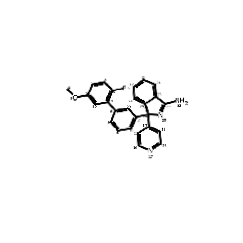 COc1ccc(F)c(-c2cccc(C3(c4ccncc4)N=C(N)c4ccccc43)c2)c1